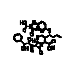 C=CCC(Sc1ccc2nn(C(=O)O)c(=O)n2n1)C1=C(C(=O)O)N2C(=O)C(NC(=O)C(O)c3ccccc3)[C@@H]2SC1